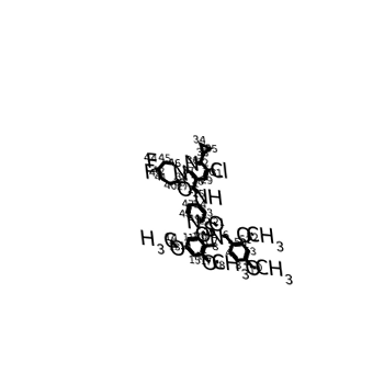 COc1ccc(CN(Cc2ccc(OC)cc2OC)S(=O)(=O)c2cc(NC(=O)c3cc(Cl)c(C4CC4)nc3N3CCCC(F)(F)CC3)ccn2)c(OC)c1